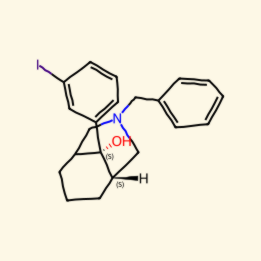 O[C@@]1(c2cccc(I)c2)C2CCC[C@H]1CN(Cc1ccccc1)C2